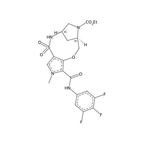 CCOC(=O)N1C[C@H]2C[C@@H]1COc1c(cn(C)c1C(=O)Nc1cc(F)c(F)c(F)c1)S(=O)(=O)N2